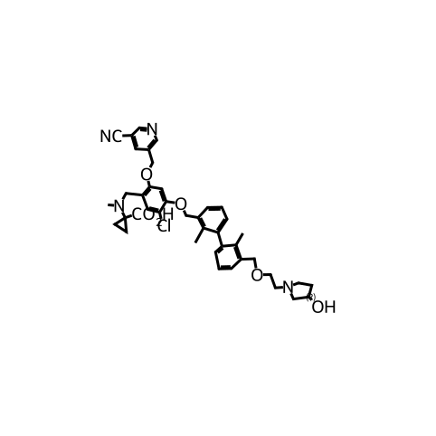 Cc1c(COCCN2CC[C@@H](O)C2)cccc1-c1cccc(COc2cc(OCc3cncc(C#N)c3)c(CN(C)C3(C(=O)O)CC3)cc2Cl)c1C